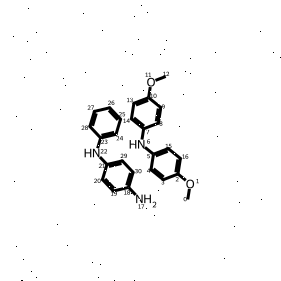 COc1ccc(Nc2ccc(OC)cc2)cc1.Nc1ccc(Nc2ccccc2)cc1